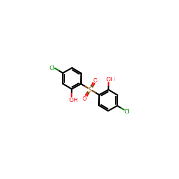 O=S(=O)(c1ccc(Cl)cc1O)c1ccc(Cl)cc1O